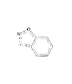 [c]1ccc2cnoc2c1